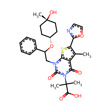 Cc1c(-c2ncco2)sc2c1c(=O)n(C(C)(C)C(=O)O)c(=O)n2CC(O[C@H]1CC[C@@](C)(O)CC1)c1ccccc1